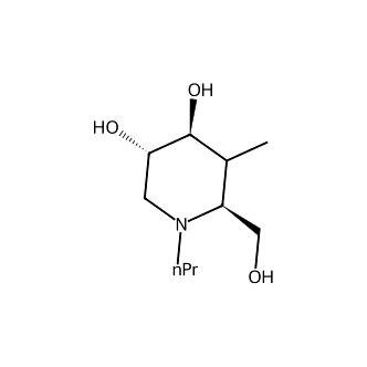 CCCN1C[C@H](O)[C@@H](O)C(C)[C@H]1CO